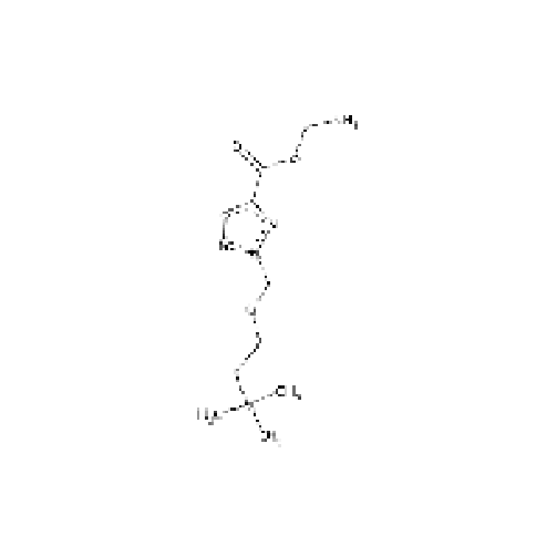 CCOC(=O)c1cnn(COCC[Si](C)(C)C)n1